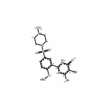 CCCCOc1ccc(S(=O)(=O)N2CCN(C)CC2)cc1-c1nc(C(C)C)c(Br)c(=O)[nH]1